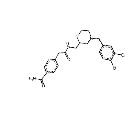 NC(=O)c1ccc(CC(=O)NCC2CN(Cc3ccc(Cl)c(Cl)c3)CCO2)cc1